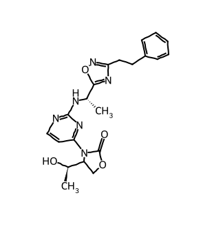 C[C@H](Nc1nccc(N2C(=O)OCC2[C@@H](C)O)n1)c1nc(CCc2ccccc2)no1